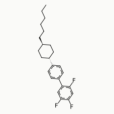 CCCCCC[C@H]1CC[C@H](c2ccc(-c3cc(F)c(F)cc3F)cc2)CC1